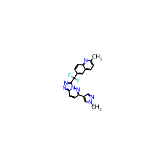 Cc1ccc2cc(C(F)(F)c3nnc4ccc(-c5cnn(C)c5)nn34)ccc2n1